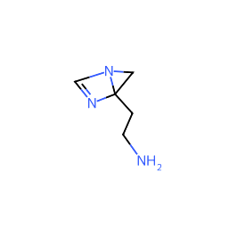 NCCC12CN1C=N2